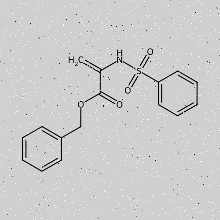 C=C(NS(=O)(=O)c1ccccc1)C(=O)OCc1ccccc1